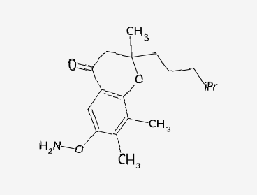 Cc1c(ON)cc2c(c1C)OC(C)(CCCC(C)C)CC2=O